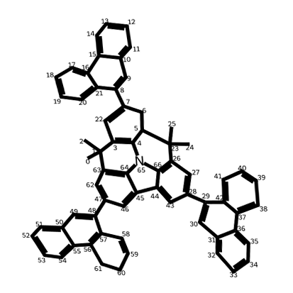 CC1(C)C2=C3C(CC(c4cc5ccccc5c5ccccc45)=C2)C(C)(C)c2cc(-c4cc5ccccc5c5ccccc45)cc4c5cc(-c6cc7ccccc7c7c6C=CCC7)cc1c5n3c24